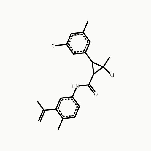 C=C(C)c1cc(NC(=O)C2C(c3cc(C)cc(Cl)c3)C2(C)Cl)ccc1C